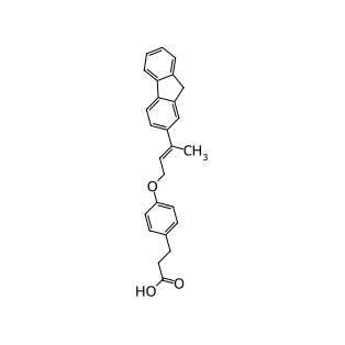 C/C(=C\COc1ccc(CCC(=O)O)cc1)c1ccc2c(c1)Cc1ccccc1-2